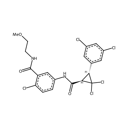 COCCNC(=O)c1cc(NC(=O)[C@H]2[C@H](c3cc(Cl)cc(Cl)c3)C2(Cl)Cl)ccc1Cl